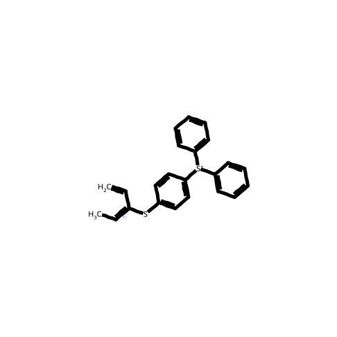 C=C/C(=C\C)Sc1ccc([S+](c2ccccc2)c2ccccc2)cc1